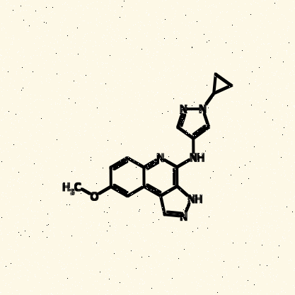 COc1ccc2nc(Nc3cnn(C4CC4)c3)c3[nH]ncc3c2c1